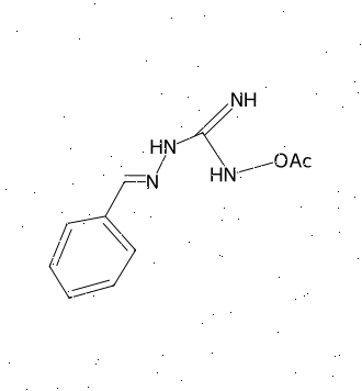 CC(=O)ONC(=N)NN=Cc1ccccc1